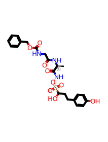 C[C@H](NC(=O)CNC(=O)OCc1ccccc1)C(=O)NOS(=O)(=O)C(O)CCc1ccc(O)cc1